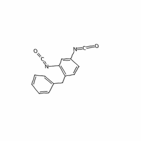 O=C=Nc1ccc(Cc2ccccc2)c(N=C=O)c1